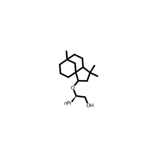 CCC[C@H](CO)OC1CC(C)(C)C2CCC3(C)CCCC12C3